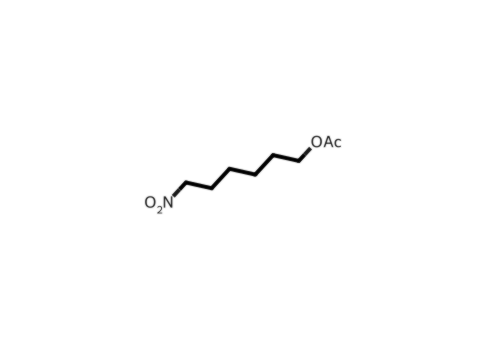 CC(=O)OCCCCCC[N+](=O)[O-]